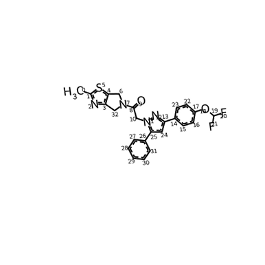 Cc1nc2c(s1)CN(C(=O)Cn1nc(-c3ccc(OC(F)F)cc3)cc1-c1ccccc1)C2